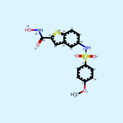 COc1ccc(S(=O)(=O)Nc2ccc3sc(C(=O)NO)cc3c2)cc1